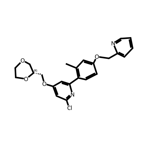 Cc1cc(OCc2ccccn2)ccc1-c1cc(OC[C@H]2COCCO2)cc(Cl)n1